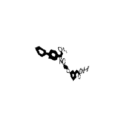 CC/C(=N\OCCOc1cccc(CC(=O)O)c1)c1ccc(C2CCCCC2)cc1